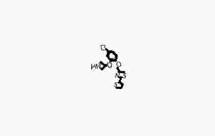 Clc1ccc(OCc2csc(-c3cccs3)n2)c(OC2CNC2)c1